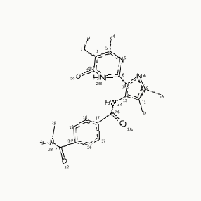 CCc1c(C)nc(-n2nc(C)c(C)c2NC(=O)c2ccc(C(=O)N(C)C)cc2)[nH]c1=O